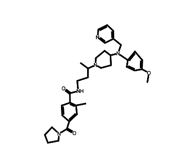 COc1ccc(N(Cc2cccnc2)C2CCN(C(C)CCNC(=O)c3ccc(C(=O)N4CCCC4)cc3C)CC2)cc1